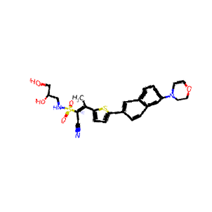 C/C(=C(/C#N)S(=O)(=O)NCC(O)CO)c1ccc(-c2ccc3cc(N4CCOCC4)ccc3c2)s1